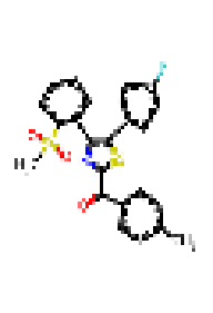 Cc1ccc(C(=O)c2nc(-c3ccccc3S(C)(=O)=O)c(-c3ccc(F)cc3)s2)cc1